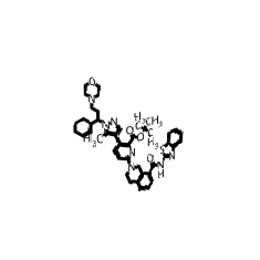 Cc1c(-c2ccc(N3CCc4cccc(C(=O)Nc5nc6ccccc6s5)c4C3)nc2C(=O)OC(C)(C)C)cnn1C(CCN1CCOCC1)C1CCCCC1